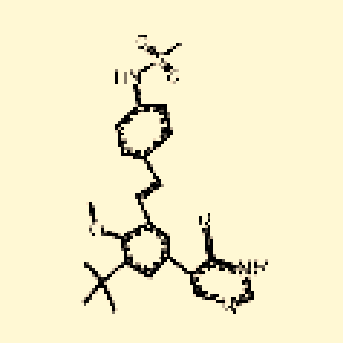 COc1c(C=Cc2ccc(NS(C)(=O)=O)cc2)cc(-c2cnc[nH]c2=O)cc1C(C)(C)C